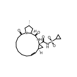 C[C@@H]1C[C@H]2C(=O)N[C@]3(C(=O)NS(=O)(=O)C4CC4)C[C@H]3/C=C\CCCCCCC(=O)N2C1